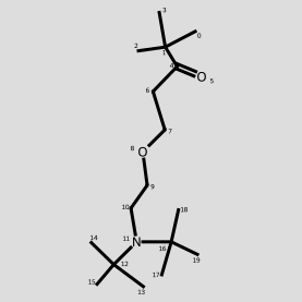 CC(C)(C)C(=O)CCOCCN(C(C)(C)C)C(C)(C)C